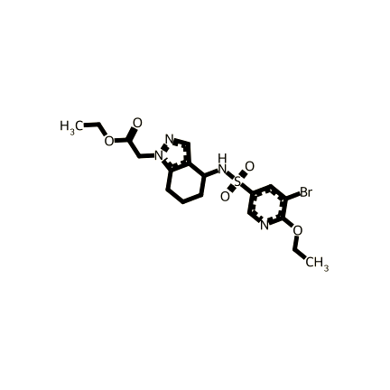 CCOC(=O)Cn1ncc2c1CCCC2NS(=O)(=O)c1cnc(OCC)c(Br)c1